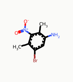 Cc1c(N)cc(Br)c(C)c1[N+](=O)[O-]